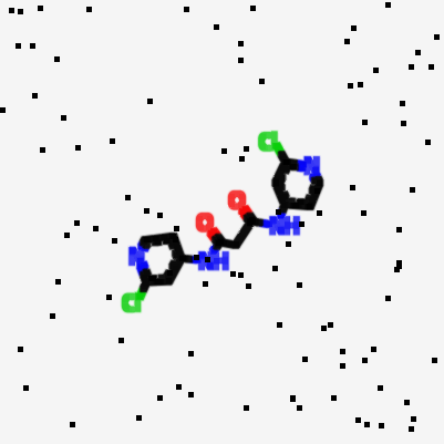 O=C(CC(=O)Nc1ccnc(Cl)c1)Nc1ccnc(Cl)c1